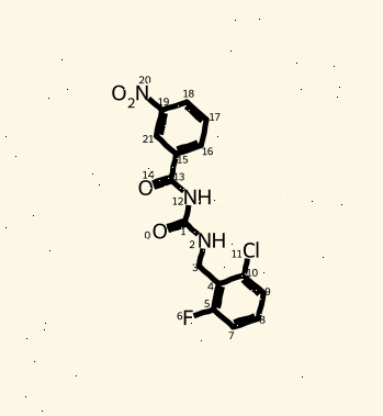 O=C(NCc1c(F)cccc1Cl)NC(=O)c1cccc([N+](=O)[O-])c1